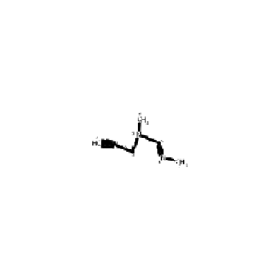 C#CCN(C)/C=N/C